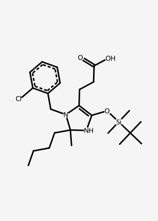 CCCCC1(C)NC(O[Si](C)(C)C(C)(C)C)=C(CCC(=O)O)N1Cc1ccccc1Cl